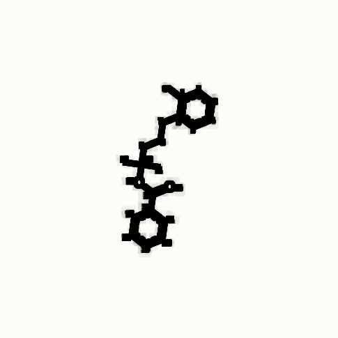 Cc1ccccc1CCCC(C)(C)OC(=O)c1ccccc1